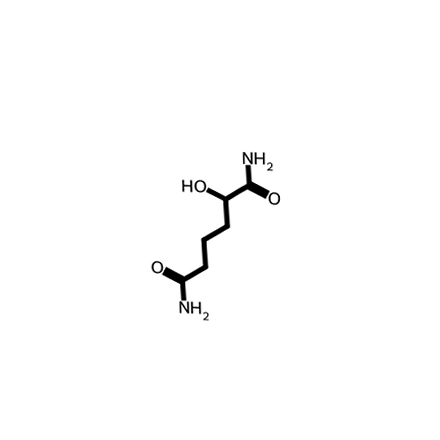 NC(=O)CCCC(O)C(N)=O